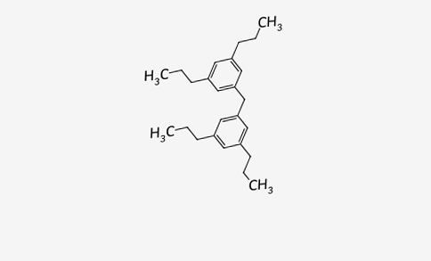 CCCc1cc(CCC)cc(Cc2cc(CCC)cc(CCC)c2)c1